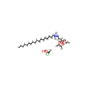 CCCCCCCCCCCCCCCCCC[N+](C)(C)CCC[Si](OCC)(OCC)OCC.CCO.[Cl-]